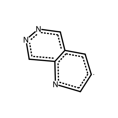 [c]1cnc2cnncc2c1